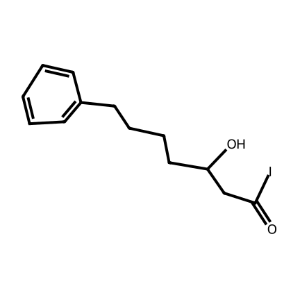 O=C(I)CC(O)CCCCc1ccccc1